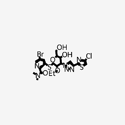 CCOC1C(Sc2cc(Br)cnc2C(=O)N(C)C)OC(CO)C(O)C1n1cc(-c2nc(Cl)cs2)nn1